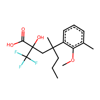 CCCC(C)(CC(O)(C(=O)O)C(F)(F)F)c1cccc(C)c1OC